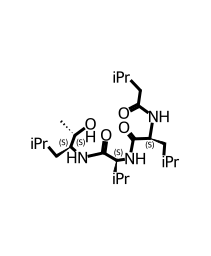 CC(C)CC(=O)N[C@@H](CC(C)C)C(=O)N[C@H](C(=O)N[C@@H](CC(C)C)[C@H](C)O)C(C)C